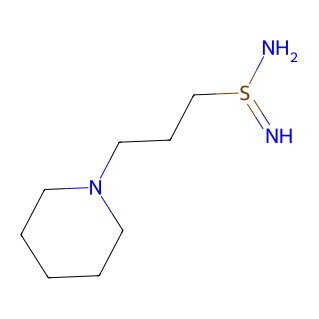 N=S(N)CCCN1CCCCC1